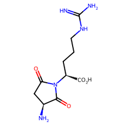 N=C(N)NCCC[C@@H](C(=O)O)N1C(=O)C[C@H](N)C1=O